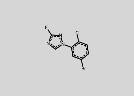 Fc1ncn(-c2cc(Br)ccc2Cl)n1